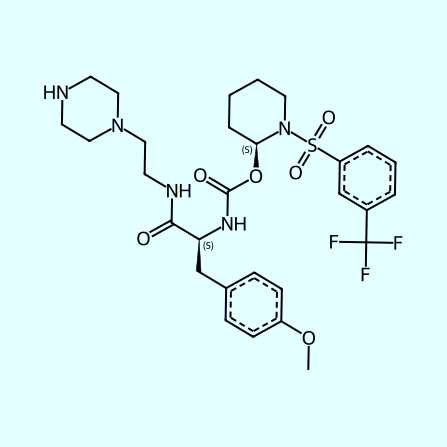 COc1ccc(C[C@H](NC(=O)O[C@H]2CCCCN2S(=O)(=O)c2cccc(C(F)(F)F)c2)C(=O)NCCN2CCNCC2)cc1